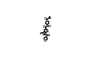 CCc1nn(NC2CCOCC2)c2ncc(C(=O)NC3CCN(C(=O)C4CC4)CC3)cc12